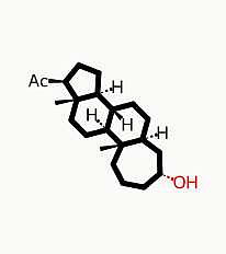 CC(=O)[C@H]1CC[C@H]2[C@@H]3CC[C@H]4C[C@H](O)CCC[C@]4(C)[C@H]3CC[C@]12C